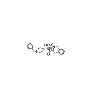 O=C(NC1C2CN(Cc3ccccc3)CC21)C1Cc2ccccc2CN1C(=O)O